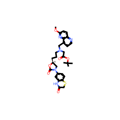 COc1ccc2nccc(CN(CCC[C@H]3CN(c4ccc5c(c4)NC(=O)CS5)C(=O)O3)CC(=O)OC(C)(C)C)c2n1